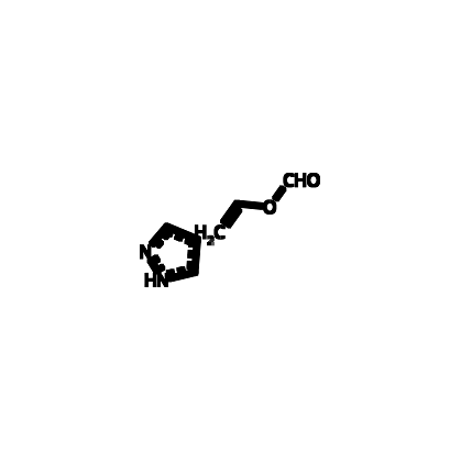 C=COC=O.c1cn[nH]c1